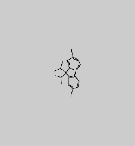 CC(C)C1(C(C)C)c2cc(I)ccc2-c2ccc(I)cc21